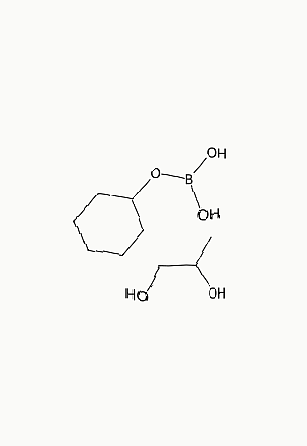 CC(O)CO.OB(O)OC1CCCCC1